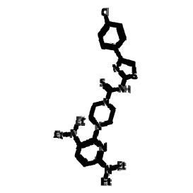 CCN(CC)c1ccc(N(CC)CC)c(N2CCN(C(=S)Nc3nc(-c4ccc(Cl)cc4)cs3)CC2)n1